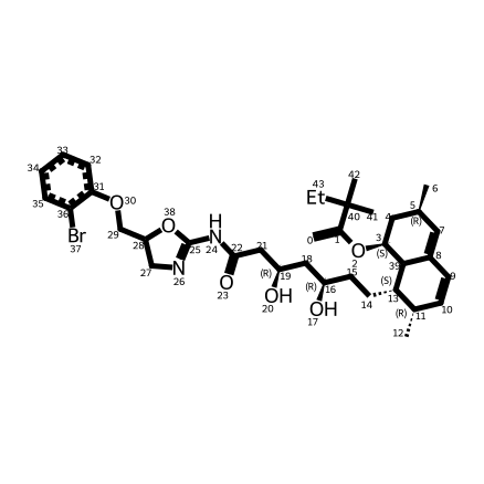 C=C(O[C@H]1C[C@@H](C)C=C2C=C[C@H](C)[C@H](CC[C@@H](O)C[C@@H](O)CC(=O)NC3=NCC(COc4ccccc4Br)O3)C21)C(C)(C)CC